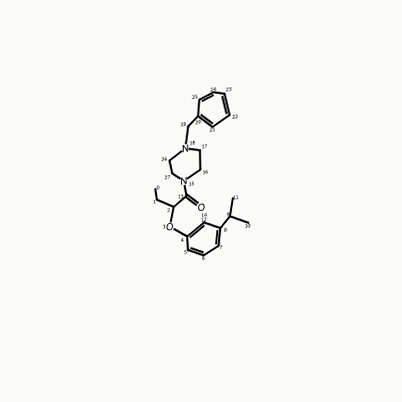 CCC(Oc1cccc(C(C)C)c1)C(=O)N1CCN(Cc2ccccc2)CC1